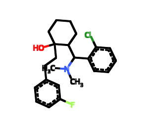 CN(C)C(c1ccccc1Cl)C1CCCCC1(O)CCc1cccc(F)c1